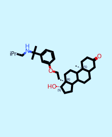 CC(C)CNC(C)(C)c1cccc(OCC[C@]23CCC4C(CCC5CC(=O)CC[C@@]54C)C2CC[C@@H]3O)c1